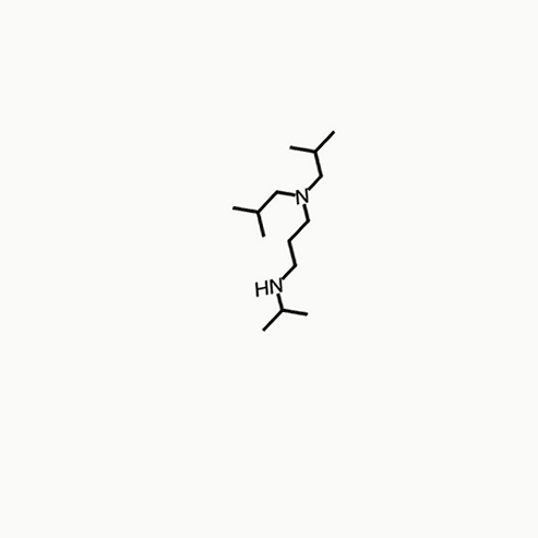 CC(C)CN(CCCNC(C)C)CC(C)C